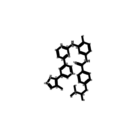 Cc1ccc(NC(=O)c2ccc(CC(C)N(C)C)cc2)cc1Nc1nccc(-c2cncc(-c3oncc3C)c2)n1